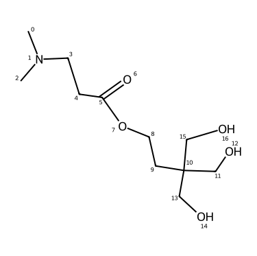 CN(C)CCC(=O)OCCC(CO)(CO)CO